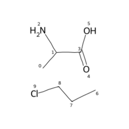 CC(N)C(=O)O.CCCCl